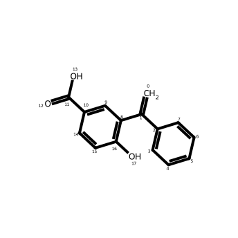 C=C(c1ccccc1)c1cc(C(=O)O)ccc1O